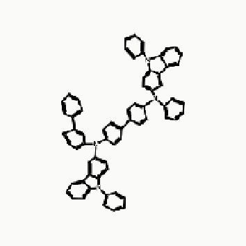 c1ccc(-c2cccc(N(c3ccc(-c4ccc(N(c5ccccc5)c5ccc6c(c5)c5ccccc5n6-c5ccccc5)cc4)cc3)c3ccc4c(c3)c3ccccc3n4-c3ccccc3)c2)cc1